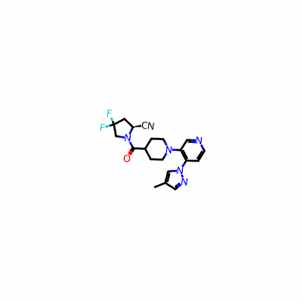 Cc1cnn(-c2ccncc2N2CCC(C(=O)N3CC(F)(F)C[C@H]3C#N)CC2)c1